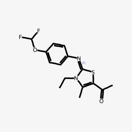 CCn1c(C)c(C(C)=O)s/c1=N/c1ccc(OC(F)F)cc1